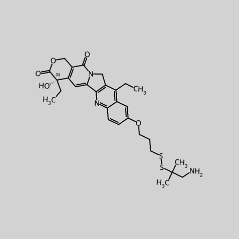 CCc1c2c(nc3ccc(OCCCSSC(C)(C)CN)cc13)-c1cc3c(c(=O)n1C2)COC(=O)[C@]3(O)CC